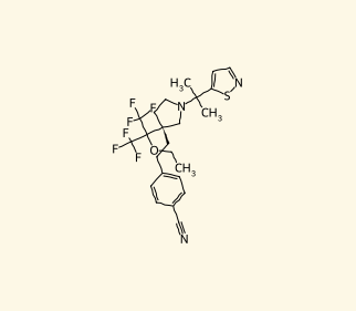 CCOC(C(F)(F)F)(C(F)(F)F)[C@]1(CCc2ccc(C#N)cc2)CCN(C(C)(C)c2ccns2)C1